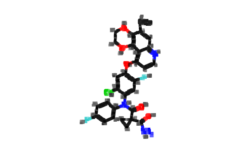 COc1cc2nccc(Oc3cc(Cl)c(N(C(=O)C4(C(N)=O)CC4)c4ccc(F)cc4)cc3F)c2c2c1OCCO2